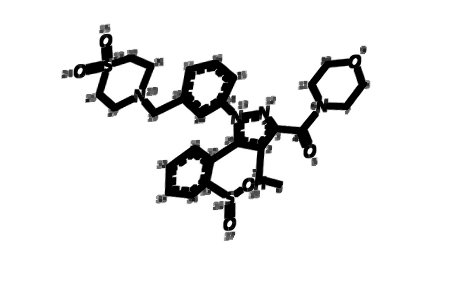 CCc1c(C(=O)N2CCOCC2)nn(-c2cccc(CN3CCS(=O)(=O)CC3)c2)c1-c1ccccc1S(=O)O